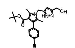 Cc1c(C(=O)OC(C)(C)C)c(-c2ccc(C#N)cc2)c(C)n1Cc1cc(CO)n[nH]1